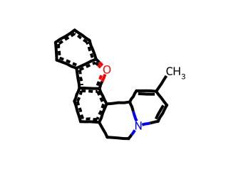 CC1=CC2c3c(ccc4c3oc3ccccc34)CCN2C=C1